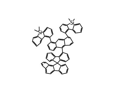 C[Si]1(C)c2ccccc2-c2c(-c3cccc4c(-c5cccc6c5-c5ccccc5C65c6ccccc6-c6ccc7ccccc7c65)c5cccc(-c6cccc7c6-c6ccccc6[Si]7(C)C)c5cc34)cccc21